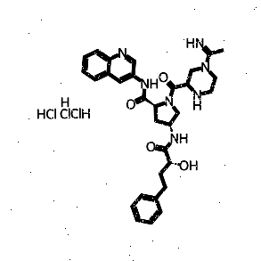 CC(=N)N1CCNC(C(=O)N2C[C@H](NC(=O)[C@H](O)CCc3ccccc3)C[C@H]2C(=O)Nc2cnc3ccccc3c2)C1.Cl.Cl.Cl